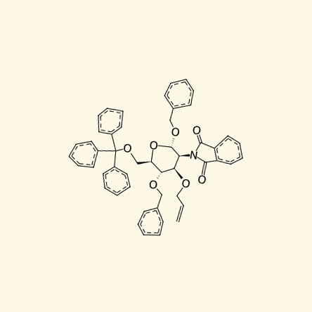 C=CCO[C@H]1[C@H](OCc2ccccc2)[C@@H](COC(c2ccccc2)(c2ccccc2)c2ccccc2)O[C@H](OCc2ccccc2)[C@H]1N1C(=O)c2ccccc2C1=O